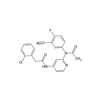 CC(=O)N(c1ccc(F)c(C#N)c1)c1cc(NC(=O)Cc2ccccc2Cl)ccn1